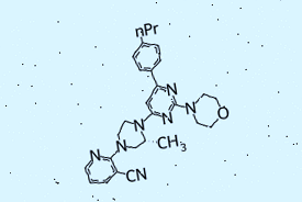 CCCc1ccc(-c2cc(N3CCN(c4ncccc4C#N)C[C@H]3C)nc(N3CCOCC3)n2)cc1